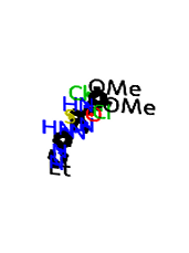 CCN1CCN(c2ccc(Nc3ncnc4c(C(=O)Nc5c(Cl)c(OC)cc(OC)c5Cl)csc34)cc2)CC1